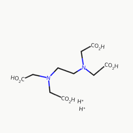 O=C(O)CN(CCN(CC(=O)O)CC(=O)O)CC(=O)O.[H+].[H+]